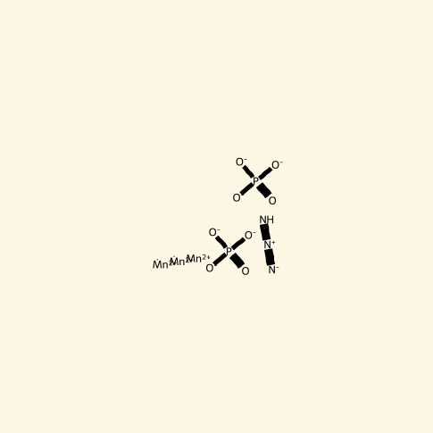 O=P([O-])([O-])[O-].O=P([O-])([O-])[O-].[Mn+2].[Mn+2].[Mn+2].[N-]=[N+]=N